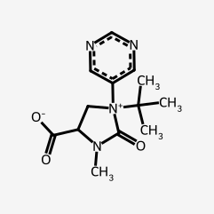 CN1C(=O)[N+](c2cncnc2)(C(C)(C)C)CC1C(=O)[O-]